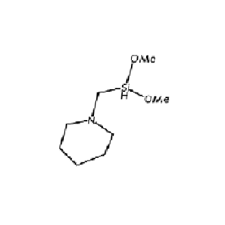 CO[SiH](CN1CCCCC1)OC